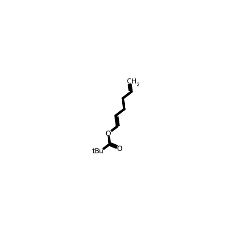 C=CCCC=COC(=O)C(C)(C)C